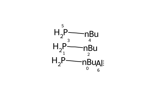 CCCCP.CCCCP.CCCCP.[Al]